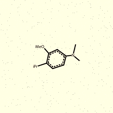 COc1cc(N(C)C)ccc1C(C)C